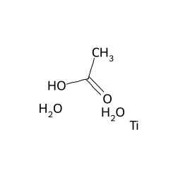 CC(=O)O.O.O.[Ti]